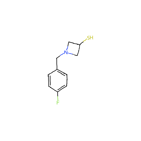 Fc1ccc(CN2CC(S)C2)cc1